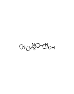 Oc1ccc(-c2ccc3nc(N4CCC(N5CCCCC5)C4)sc3c2)cn1